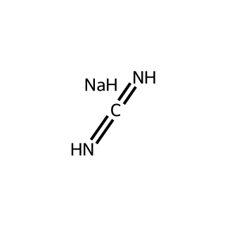 N=C=N.[NaH]